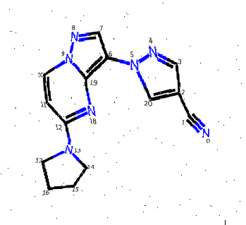 N#Cc1cnn(-c2cnn3ccc(N4CCCC4)nc23)c1